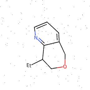 CCC1COCc2cccnc21